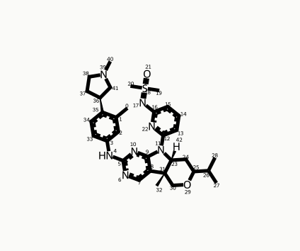 Cc1cc(Nc2ncc3c(n2)N(c2cccc(N=S(C)(C)=O)n2)[C@@H]2CC(C(C)C)OC[C@]32C)ccc1[C@H]1CCN(C)C1